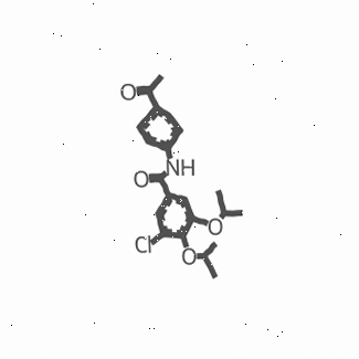 CC(=O)c1ccc(NC(=O)c2cc(Cl)c(OC(C)C)c(OC(C)C)c2)cc1